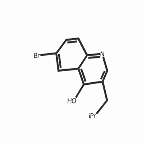 CC(C)Cc1cnc2ccc(Br)cc2c1O